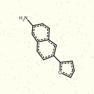 Nc1ccc2cc(-c3ccco3)ccc2c1